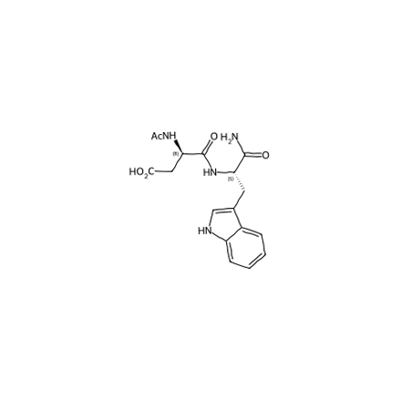 CC(=O)N[C@H](CC(=O)O)C(=O)N[C@@H](Cc1c[nH]c2ccccc12)C(N)=O